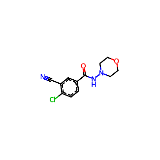 N#Cc1cc(C(=O)NN2CCOCC2)ccc1Cl